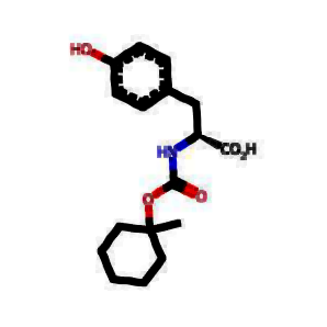 CC1(OC(=O)N[C@@H](Cc2ccc(O)cc2)C(=O)O)CCCCC1